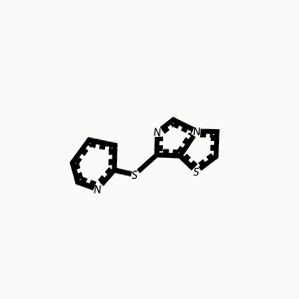 c1ccc(Sc2ncn3ccsc23)nc1